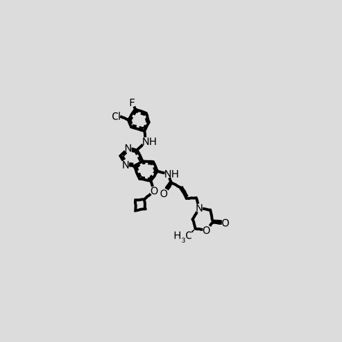 C[C@@H]1CN(C/C=C/C(=O)Nc2cc3c(Nc4ccc(F)c(Cl)c4)ncnc3cc2OC2CCC2)CC(=O)O1